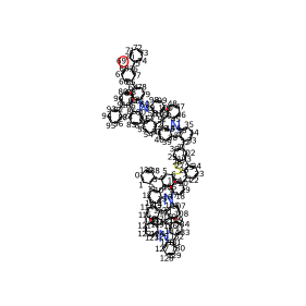 c1ccc(-c2ccccc2-c2ccccc2N(c2ccc(-c3cccc4c3sc3ccc(-c5cccc6c5c5cccc7c5n6-c5ccccc5C75c6ccccc6-c6c(N(c7ccc(-c8ccc9oc%10ccccc%10c9c8)cc7)c7ccccc7-c7ccccc7-c7ccccc7)cccc65)cc34)cc2)c2cccc3c2-c2ccccc2C32c3ccccc3-n3c4ccccc4c4cccc2c43)cc1